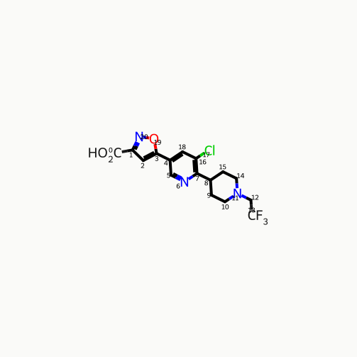 O=C(O)c1cc(-c2cnc(C3CCN(CC(F)(F)F)CC3)c(Cl)c2)on1